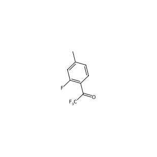 Cc1ccc(C(=O)C(F)(F)F)c(F)c1